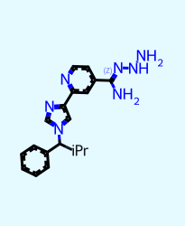 CC(C)C(c1ccccc1)n1cnc(-c2cc(/C(N)=N/NN)ccn2)c1